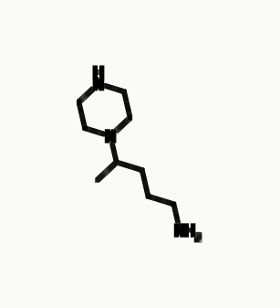 CC(CCCN)N1CCNCC1